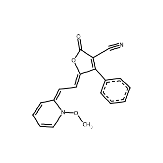 CON1C=CC=CC1=CC=C1OC(=O)C(C#N)=C1c1ccccc1